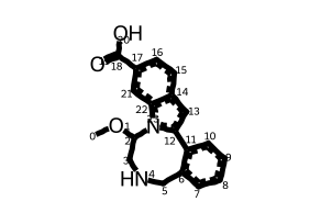 COC1CNCc2ccccc2-c2cc3ccc(C(=O)O)cc3n21